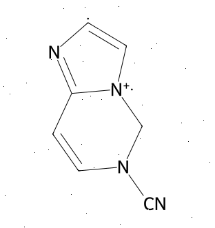 N#CN1C=CC2=N[C]=C[N+]2C1